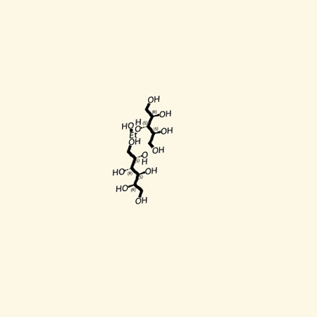 CCO.OC[C@@H](O)[C@@H](O)[C@@H](O)CO.OC[C@@H](O)[C@H](O)[C@H](O)[C@@H](O)CO